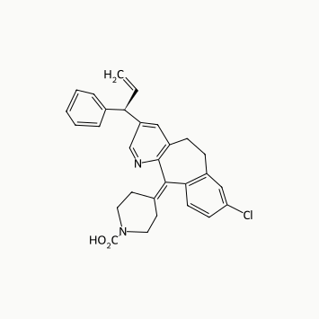 C=C[C@H](c1ccccc1)c1cnc2c(c1)CCc1cc(Cl)ccc1C2=C1CCN(C(=O)O)CC1